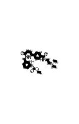 CCOC(=O)Nc1cccc(Cn2nc(-c3ccc(C(=O)NCCN(CC)CC)cc3)ccc2=O)c1